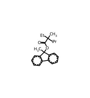 CCC(C)(C(=O)OC1(C)c2ccccc2-c2ccccc21)C(C)C